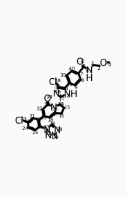 COCCNC(=O)c1ccc(-c2[nH]c([C@@H]3CCc4cc(-c5cc(Cl)ccc5-n5cnnn5)cc(=O)n43)nc2Cl)cc1